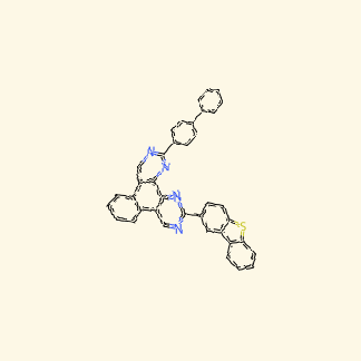 c1ccc(-c2ccc(-c3ncc4c5ccccc5c5cnc(-c6ccc7sc8ccccc8c7c6)nc5c4n3)cc2)cc1